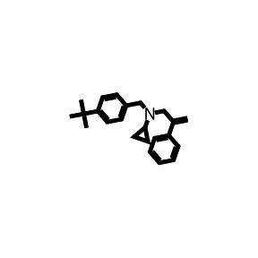 C=C(CN(Cc1ccc(C(C)(C)C)cc1)C1CC1)c1ccccc1